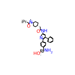 CC(C)C(=O)N(C)[C@H]1CC[C@H](CC(=O)Nc2cnc(-c3ccc([C@]4(N)C[C@](C)(O)C4)cc3)c(-c3ccccc3)c2)CC1